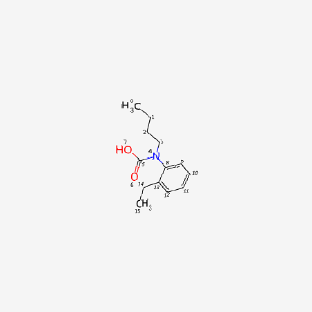 CCCCN(C(=O)O)c1ccccc1CC